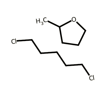 CC1CCCO1.ClCCCCCCl